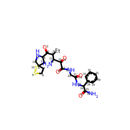 CCC(C(=O)C1CC2(CCSS2)CN1)C(N)C(=O)C(=O)NCC(=O)NC(C(N)=O)c1ccccc1